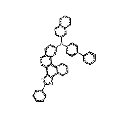 c1ccc(-c2ccc(N(c3ccc4ccccc4c3)c3ccc4ccc5c6nc(-c7ccccc7)oc6c6ccccc6c5c4c3)cc2)cc1